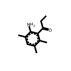 CCC(=O)c1c(C)c(C)cc(C)c1N